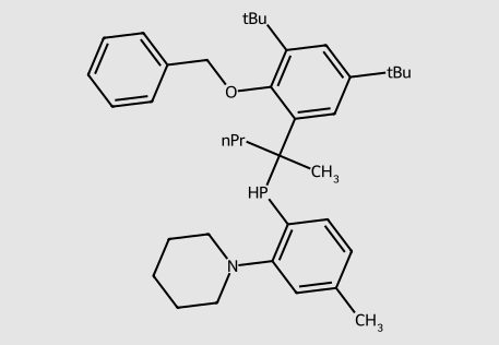 CCCC(C)(Pc1ccc(C)cc1N1CCCCC1)c1cc(C(C)(C)C)cc(C(C)(C)C)c1OCc1ccccc1